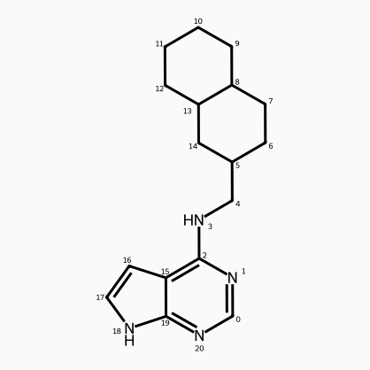 c1nc(NCC2CCC3CCCCC3C2)c2cc[nH]c2n1